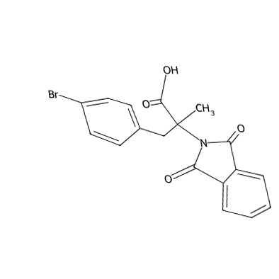 CC(Cc1ccc(Br)cc1)(C(=O)O)N1C(=O)c2ccccc2C1=O